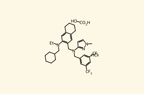 CCN(CC1CCCCC1)c1cc2c(cc1CN(Cc1cc(C(F)(F)F)cc(C(F)(F)F)c1)c1ccn(C)n1)CCCC2.Cl.O=C(O)O